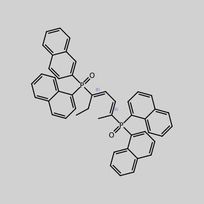 CC/C(=C\C=C(/C)P(=O)(c1cccc2ccccc12)c1cccc2ccccc12)P(=O)(c1ccc2ccccc2c1)c1cccc2ccccc12